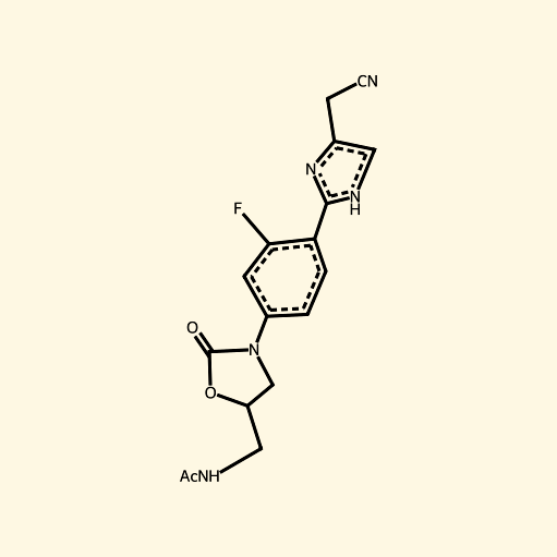 CC(=O)NCC1CN(c2ccc(-c3nc(CC#N)c[nH]3)c(F)c2)C(=O)O1